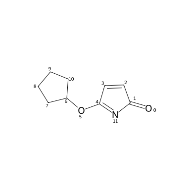 O=C1C=CC(OC2CCCC2)=N1